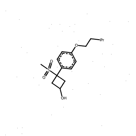 CC(C)CCOc1ccc(C2(S(C)(=O)=O)CC(O)C2)cc1